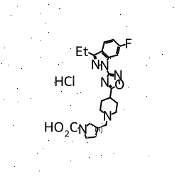 CCc1nn(-c2noc(C3CCN(C[C@H]4CCN(C(=O)O)C4)CC3)n2)c2cc(F)ccc12.Cl